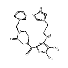 Cc1nc(C(=O)N2CCN(Cc3ccccc3)C(=O)C2)nc(NCCc2cn[nH]c2)c1C